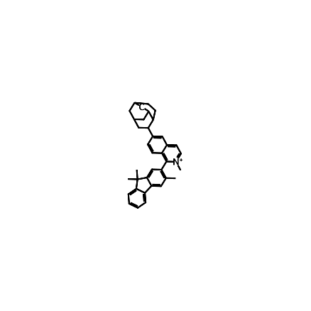 Cc1cc2c(cc1-c1c3ccc(C4CC5CC6CCC4C(C6)C5)cc3cc[n+]1C)C(C)(C)c1ccccc1-2